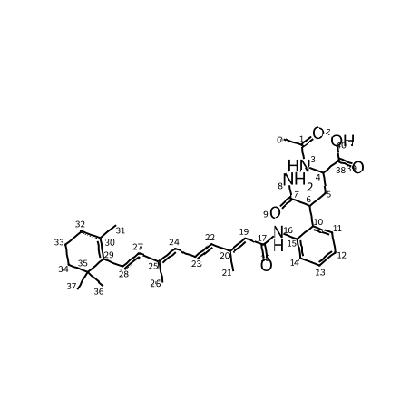 CC(=O)NC(CC(C(N)=O)c1ccccc1NC(=O)/C=C(C)/C=C/C=C(C)/C=C/C1=C(C)CCCC1(C)C)C(=O)O